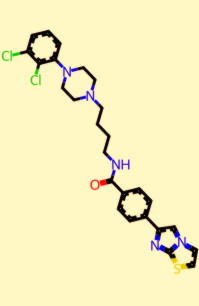 O=C(NCCCCN1CCN(c2cccc(Cl)c2Cl)CC1)c1ccc(-c2cn3ccsc3n2)cc1